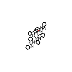 c1ccc2c(c1)nc1n(-c3cccc4c3nc3n(-c5nccc6c5oc5ccccc56)c5c(-n6c7ccccc7n7c8ccccc8nc67)cccc5n43)c3ccccc3n21